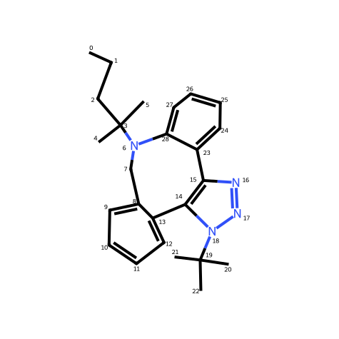 CCCC(C)(C)N1Cc2ccccc2-c2c(nnn2C(C)(C)C)-c2ccccc21